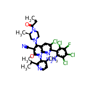 C=CC(=O)N1CCN(c2c(C#N)c(=O)n(-c3c(C)ccnc3C(C)C)c3nc(-c4c(N)c(Cl)c(Cl)c(F)c4Cl)c(Cl)cc23)C[C@H]1C